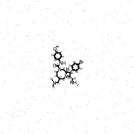 COc1ccc(NC(=O)N2CCC(CN(C)C)CN3[C@H](CN)[C@H](c4ccc(Br)cc4)[C@@H]3C2)cc1